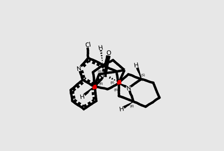 O=c1c(Cl)nc2ccccc2n1[C@H]1C[C@H]2CCC[C@@H](C1)N2[C@@]12C[C@@H]3CC1C[C@@H](C3)C2